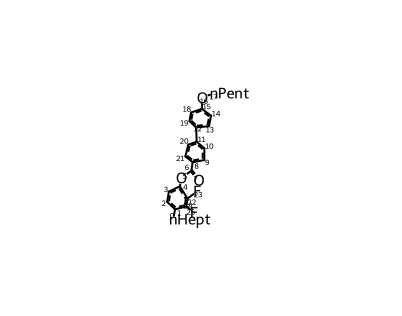 CCCCCCCc1ccc(OC(=O)c2ccc(-c3ccc(OCCCCC)cc3)cc2)c(F)c1F